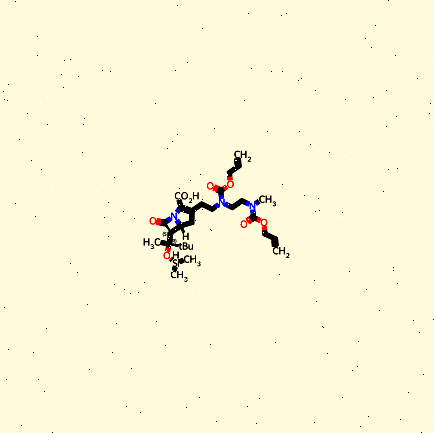 C=CCOC(=O)N(C)CCN(CCC1=C(C(=O)O)N2C(=O)[C@H]([C@@](C)(O[SiH](C)C)C(C)(C)C)[C@H]2C1)C(=O)OCC=C